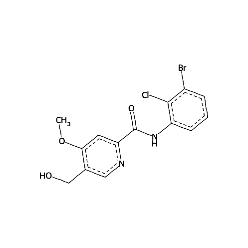 COc1cc(C(=O)Nc2cccc(Br)c2Cl)ncc1CO